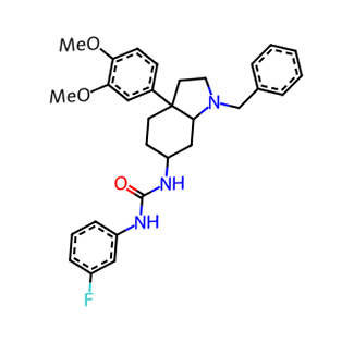 COc1ccc(C23CCC(NC(=O)Nc4cccc(F)c4)CC2N(Cc2ccccc2)CC3)cc1OC